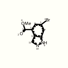 COC(=O)c1cc(Br)cc2[nH]ncc12